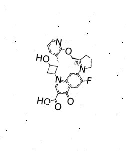 Cc1cccnc1OC[C@H]1CCCN1c1cc2c(cc1F)c(=O)c(C(=O)O)cn2C1CC(O)C1